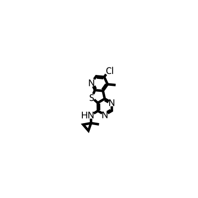 Cc1c(Cl)cnc2sc3c(NC4(C)CC4)ncnc3c12